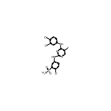 NS(=O)(=O)c1cc(Nc2ncc(F)c(Nc3ccc(Cl)c(Cl)c3)n2)ccc1Cl